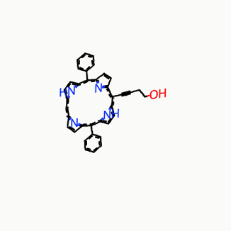 OCCC#Cc1c2nc(c(-c3ccccc3)c3ccc(cc4nc(c(-c5ccccc5)c5ccc1[nH]5)C=C4)[nH]3)C=C2